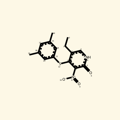 CCc1c[nH]c(=O)c([N+](=O)[O-])c1Sc1cc(C)cc(C)c1